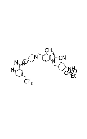 CCS(=O)(=O)NC1CCC(Cn2c(C#N)cc3c(C)c(CN4CCC5(CC4)CN(c4ncnc6ccc(CC(F)(F)F)cc46)C5)ccc32)CC1